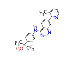 OC(c1ccc(Nc2ncnc3cc(-c4ncccc4C(F)(F)F)ccc23)cc1)(C(F)(F)F)C(F)(F)F